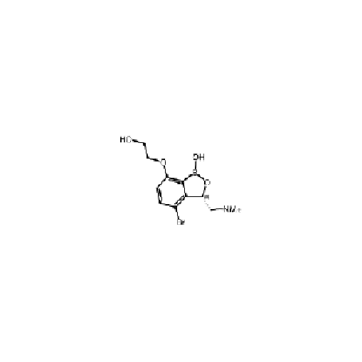 CNC[C@H]1OB(O)c2c(OCCO)ccc(Br)c21